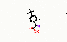 CC(C)(C)c1ccc(C(I)C(=O)O)cc1